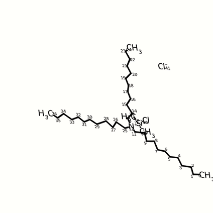 CCCCCCCCCCCC[N+](CCCCCCCCCCCC)(CCCCCCCCCCCC)[Si](C)(C)Cl.[Cl-]